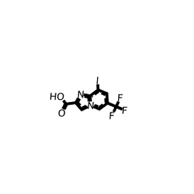 O=C(O)c1cn2cc(C(F)(F)F)cc(I)c2n1